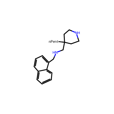 CCCCCC1(CNCc2cccc3ccccc23)CCNCC1